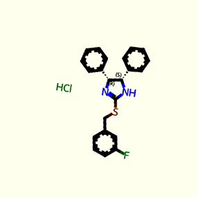 Cl.Fc1cccc(CSC2=N[C@H](c3ccccc3)[C@H](c3ccccc3)N2)c1